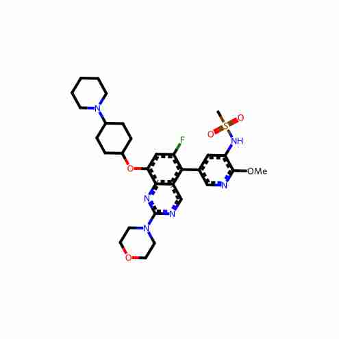 COc1ncc(-c2c(F)cc(OC3CCC(N4CCCCC4)CC3)c3nc(N4CCOCC4)ncc23)cc1NS(C)(=O)=O